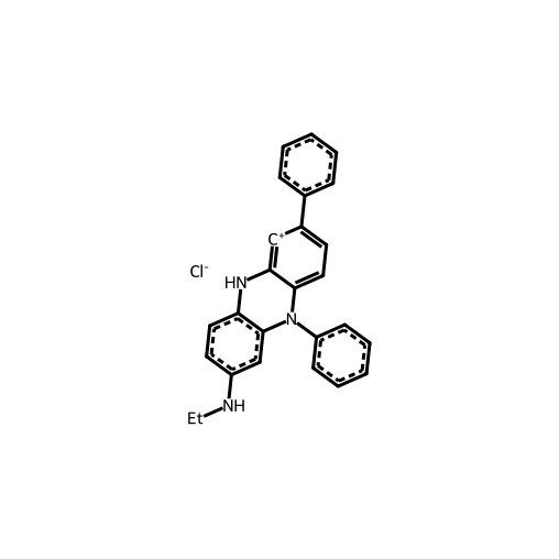 CCNc1ccc2c(c1)N(c1ccccc1)C1=CC=C(c3ccccc3)[C+]=C1N2.[Cl-]